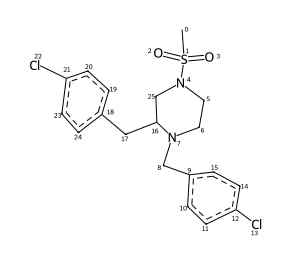 CS(=O)(=O)N1CCN(Cc2ccc(Cl)cc2)C(Cc2ccc(Cl)cc2)C1